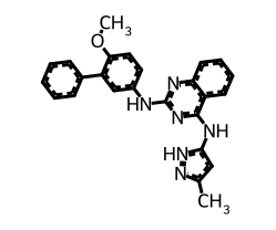 COc1ccc(Nc2nc(Nc3cc(C)n[nH]3)c3ccccc3n2)cc1-c1ccccc1